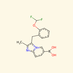 Cc1nc2ccc(B(O)O)cn2c1Cc1ccccc1OC(F)F